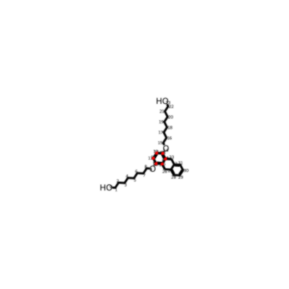 OCCCCCCCCOc1ccc(OCCCCCCCCO)c2c1C1c3ccccc3C2c2ccccc21